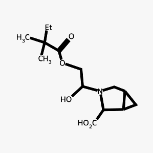 CCC(C)(C)C(=O)OCC(O)N1CC2CC2C1C(=O)O